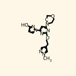 Cn1cc(CCOc2nc(N3CCOCC3)cc(-n3ccc(O)n3)n2)cn1